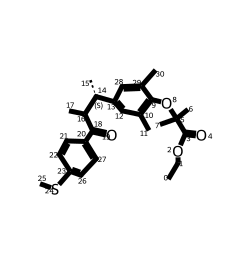 CCOC(=O)C(C)(C)Oc1c(C)cc([C@@H](C)C(C)C(=O)c2ccc(SC)cc2)cc1C